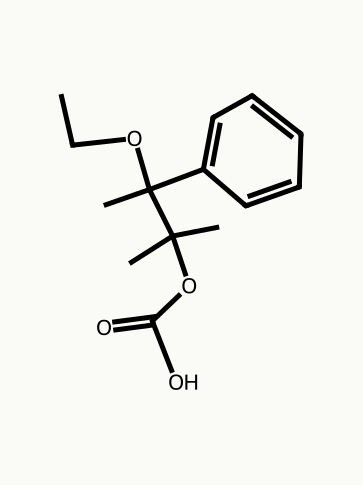 CCOC(C)(c1ccccc1)C(C)(C)OC(=O)O